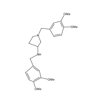 COc1ccc(CNC2CCN(Cc3ccc(OC)c(OC)c3)C2)cc1OC